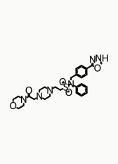 O=C(CN1CCN(CCS(=O)(=O)N(Cc2ccc(C3=NNCO3)cc2)c2ccccc2)CC1)N1CCOCC1